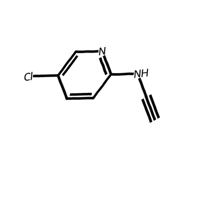 C#CNc1ccc(Cl)cn1